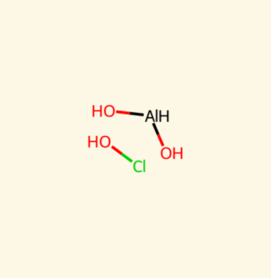 OCl.[OH][AlH][OH]